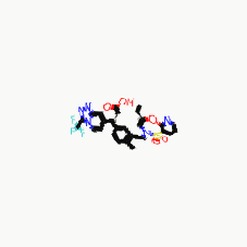 CC[C@@H]1CN(Cc2cc([C@@H](CC(=O)O)c3ccn4c(C(F)(F)F)nnc4c3)ccc2C)S(=O)(=O)c2cccnc2O1